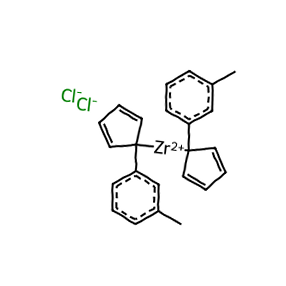 Cc1cccc([C]2([Zr+2][C]3(c4cccc(C)c4)C=CC=C3)C=CC=C2)c1.[Cl-].[Cl-]